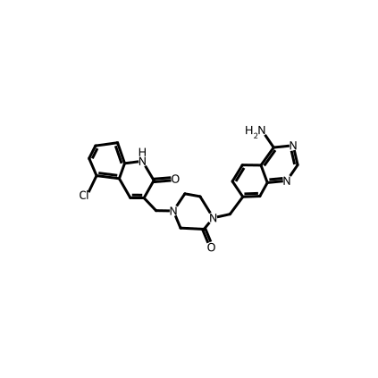 Nc1ncnc2cc(CN3CCN(Cc4cc5c(Cl)cccc5[nH]c4=O)CC3=O)ccc12